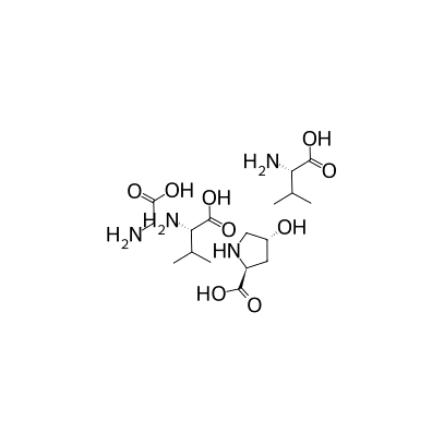 CC(C)[C@H](N)C(=O)O.CC(C)[C@H](N)C(=O)O.NCC(=O)O.O=C(O)[C@@H]1C[C@@H](O)CN1